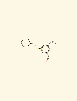 Cc1cc(C=O)cc(SCC2CCCCC2)c1